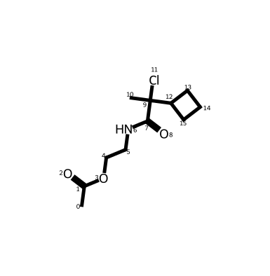 CC(=O)OCCNC(=O)C(C)(Cl)C1CCC1